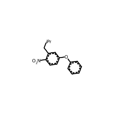 CC(C)Cc1cc(Oc2ccccc2)ccc1[N+](=O)[O-]